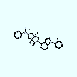 C[C@H](c1ccccc1)N1C[C@@H]2CN(c3cccc4c3cnn4-c3ccccc3F)C(=O)[C@@H]2C1